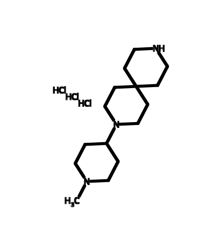 CN1CCC(N2CCC3(CCNCC3)CC2)CC1.Cl.Cl.Cl